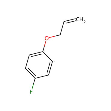 C=CCOc1[c]cc(F)cc1